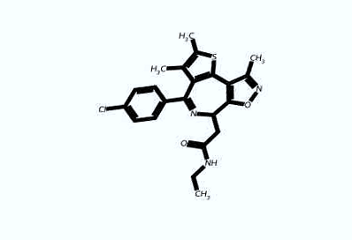 CCNC(=O)CC1N=C(c2ccc(Cl)cc2)c2c(sc(C)c2C)-c2c(C)noc21